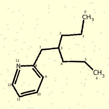 CCCC(CCC)Cc1ccccn1